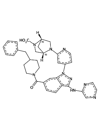 O=C(c1ccc2c(Nc3cnccn3)nn(-c3ccnc(N4C[C@@H]5C[C@H]4CN5C(=O)O)c3)c2c1)N1CCC(Cc2ccccc2)CC1